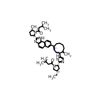 C=C1CCCC/C(c2ccc3c(ccc4nc([C@@H]5CC[C@H](C)N5C(=O)CC(C)C)[nH]c43)c2)=C\C=C/1c1cnc([C@@H]2C[C@H](CC)CN2C(=O)CC(C)C)[nH]1